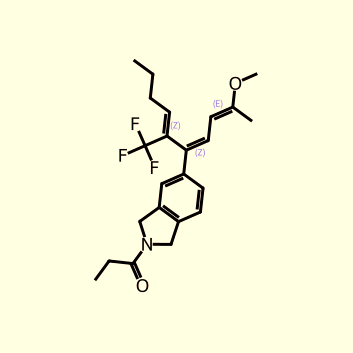 CCC/C=C(/C(=C\C=C(/C)OC)c1ccc2c(c1)CN(C(=O)CC)C2)C(F)(F)F